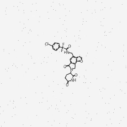 O=C1CCC(N2Cc3c(cc(CNC(=O)C(F)(F)c4ccc(Cl)cc4)c4ccoc34)C2=O)C(=O)N1